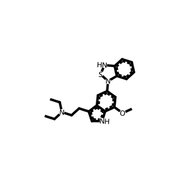 CCN(CC)CCc1c[nH]c2c(OC)cc(N3SNc4ccccc43)cc12